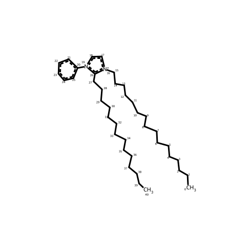 CCCCCCCCCCCCCCCC[n+]1ccn(-c2ccccc2)c1CCCCCCCCCCCCCC